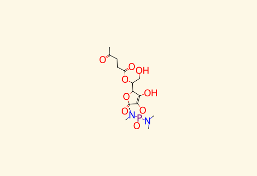 CC(=O)CCC(=O)OC(CO)C1OC(=O)C(OP(=O)(N(C)C)N(C)C)=C1O